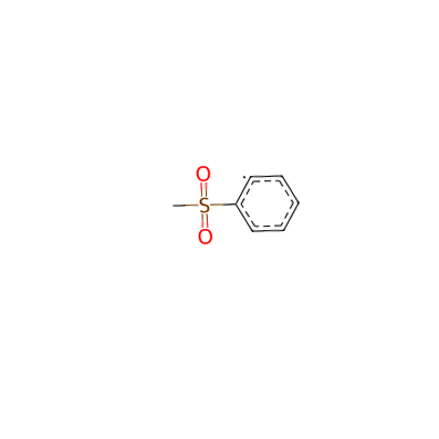 CS(=O)(=O)c1[c]cccc1